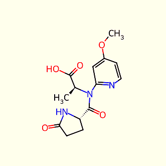 COc1ccnc(N(C(=O)[C@@H]2CCC(=O)N2)[C@@H](C)C(=O)O)c1